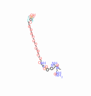 C=C(CCOCCOCCOCCOCCOCCOCCOCCOCCOCCOCCC(=O)NCC1CN(S(=O)(=O)c2cccc(-c3ccc4c(c3)N=C(N)CC(C(=O)N(CCC)CCCNC(N)=O)=C4)c2)C1)Oc1c(F)c(F)c(S(=O)(=O)O)c(F)c1F